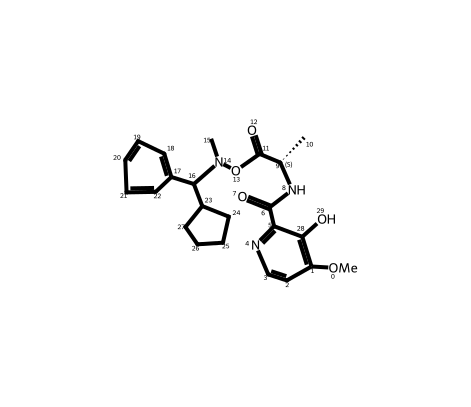 COc1ccnc(C(=O)N[C@@H](C)C(=O)ON(C)C(c2ccccc2)C2CCCC2)c1O